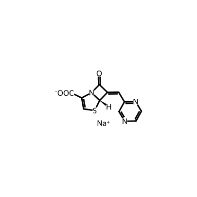 O=C([O-])C1=CS[C@H]2C(=Cc3cnccn3)C(=O)N12.[Na+]